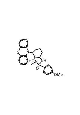 CN=S(=O)(NC1CCCC(N2c3ccccc3Sc3ccccc32)C1O)c1ccc(OC)cc1